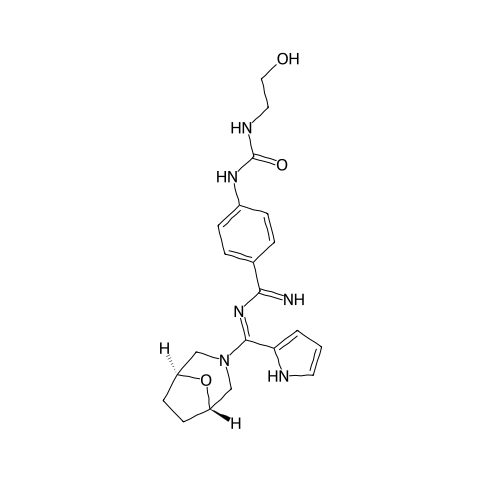 N=C(/N=C(\c1ccc[nH]1)N1C[C@@H]2CC[C@@H](C1)O2)c1ccc(NC(=O)NCCO)cc1